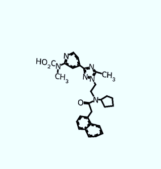 Cc1nc(-c2ccnc(N(C)C(=O)O)c2)nn1CCN(C(=O)Cc1cccc2ccccc12)C1CCCC1